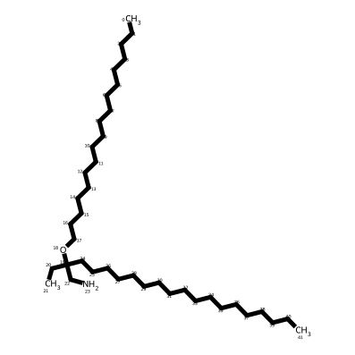 CCCCCCCCCCCCCCCCCCOC(CC)(CN)CCCCCCCCCCCCCCCCCC